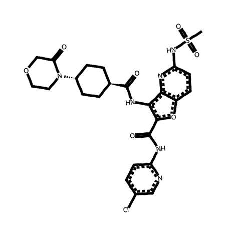 CS(=O)(=O)Nc1ccc2oc(C(=O)Nc3ccc(Cl)cn3)c(NC(=O)[C@H]3CC[C@H](N4CCOCC4=O)CC3)c2n1